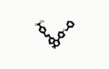 CC1(C)CC=C(c2ccc(OCc3ccccc3)cc2)c2cc(/C=C/c3ccc(C(=O)O)cc3)ccc21